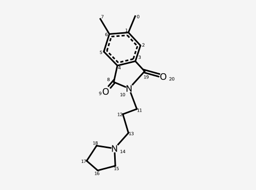 Cc1cc2c(cc1C)C(=O)N(CCCN1CCCC1)C2=O